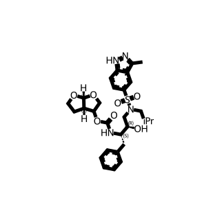 Cc1n[nH]c2ccc(S(=O)(=O)N(CC(C)C)C[C@@H](O)[C@H](Cc3ccccc3)NC(=O)OC3CO[C@H]4OCC[C@@H]34)cc12